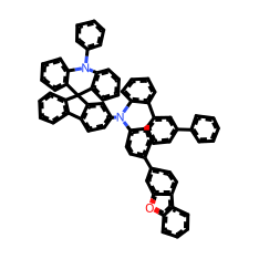 c1ccc(-c2cccc(-c3ccccc3N(c3ccc(-c4ccc5c(c4)oc4ccccc45)cc3)c3ccc4c(c3)C3(c5ccccc5-4)c4ccccc4N(c4ccccc4)c4ccccc43)c2)cc1